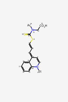 CCN1C=CC(=CC=CSC(=S)N(CC(=O)O)C(C)=O)c2ccccc21